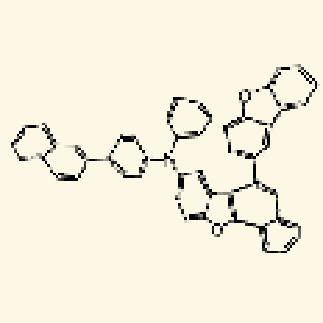 c1ccc(N(c2ccc(-c3ccc4ccccc4c3)cc2)c2ccc3oc4c5ccccc5cc(-c5ccc6oc7ccccc7c6c5)c4c3c2)cc1